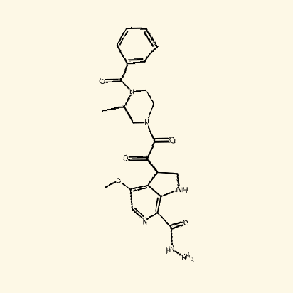 COc1cnc(C(=O)NN)c2c1C(C(=O)C(=O)N1CCN(C(=O)c3ccccc3)C(C)C1)CN2